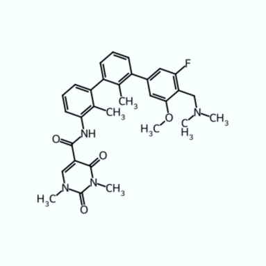 COc1cc(-c2cccc(-c3cccc(NC(=O)c4cn(C)c(=O)n(C)c4=O)c3C)c2C)cc(F)c1CN(C)C